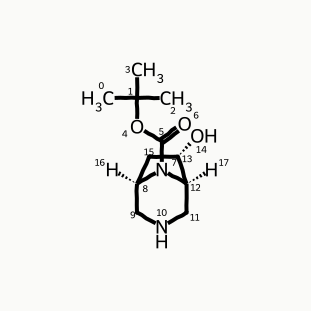 CC(C)(C)OC(=O)N1[C@H]2CNC[C@@H]1[C@@H](O)C2